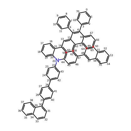 c1ccc(-c2c(-c3ccccc3)c3cc(-c4ccccc4N(c4ccc(-c5ccc(-c6cccc7ccccc67)cc5)cc4)c4ccc(-c5ccc6ccccc6c5)cc4)ccc3c3ccccc23)cc1